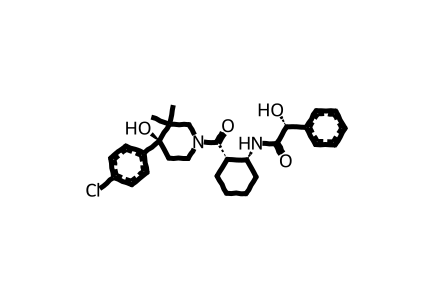 CC1(C)CN(C(=O)[C@H]2CCCC[C@H]2NC(=O)[C@H](O)c2ccccc2)CC[C@]1(O)c1ccc(Cl)cc1